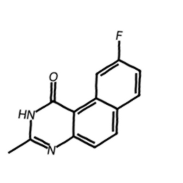 Cc1nc2ccc3ccc(F)cc3c2c(=O)[nH]1